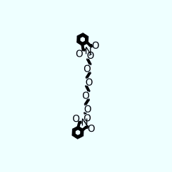 O=C1c2ccccc2C(=O)N1OCCOCCOCCOCCOCON1C(=O)c2ccccc2C1=O